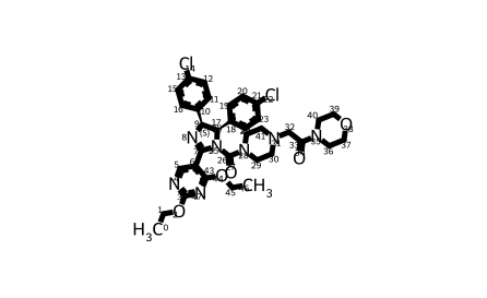 CCOc1ncc(C2=N[C@@H](c3ccc(Cl)cc3)[C@@H](c3ccc(Cl)cc3)N2C(=O)N2CCN(CC(=O)N3CCOCC3)CC2)c(OCC)n1